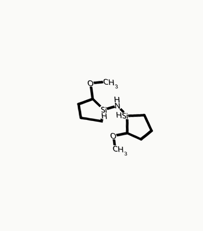 COC1CCC[SiH]1N[SiH]1CCCC1OC